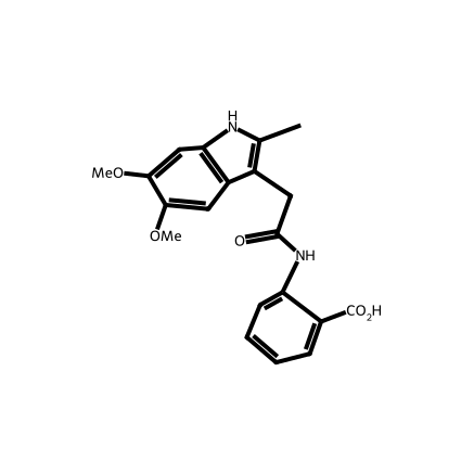 COc1cc2[nH]c(C)c(CC(=O)Nc3ccccc3C(=O)O)c2cc1OC